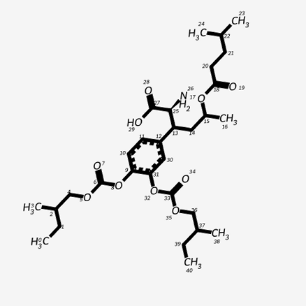 CCC(C)COC(=O)Oc1ccc(C(CC(C)OC(=O)CCC(C)C)[C@H](N)C(=O)O)cc1OC(=O)OCC(C)CC